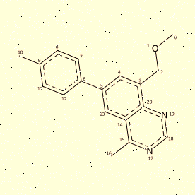 COCc1cc(-c2ccc(C)cc2)cc2c(C)ncnc12